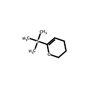 CS(C)(C)C1=CCCCO1